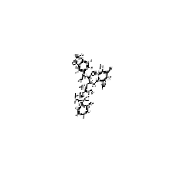 Cc1ccccc1S(=O)(=O)NC(=O)NC(Cc1cc(F)c(F)cc1F)C(=O)N(C)c1ccc2c(c1)OCO2